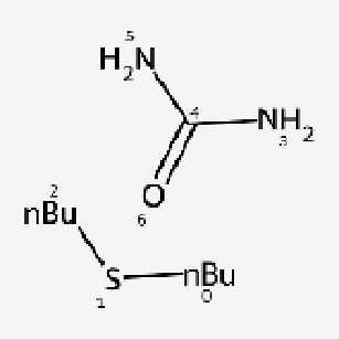 CCCCSCCCC.NC(N)=O